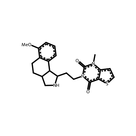 COc1cccc2c1CCC1CNC(CCn3c(=O)c4sccc4n(C)c3=O)C21